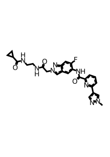 Cn1cc(-c2cccc(C(=O)Nc3cc4cn(CC(=O)NCCNC(=O)C5CC5)nc4cc3F)n2)cn1